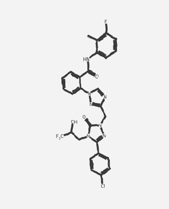 Cc1c(F)cccc1NC(=O)c1ccccc1-n1cnc(Cn2nc(-c3ccc(Cl)cc3)n(CC(O)C(F)(F)F)c2=O)n1